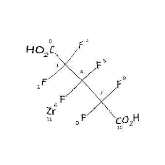 O=C(O)C(F)(F)C(F)(F)C(F)(F)C(=O)O.[Zr]